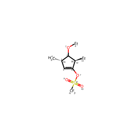 CCOC1[C@@H](C)C=C(OS(=O)(=O)C(F)(F)F)[C@@H]1CC